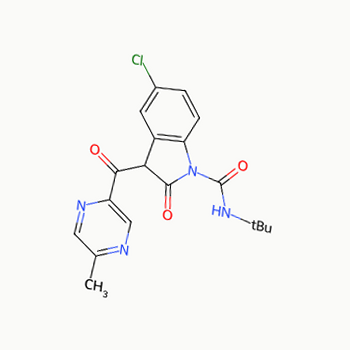 Cc1cnc(C(=O)C2C(=O)N(C(=O)NC(C)(C)C)c3ccc(Cl)cc32)cn1